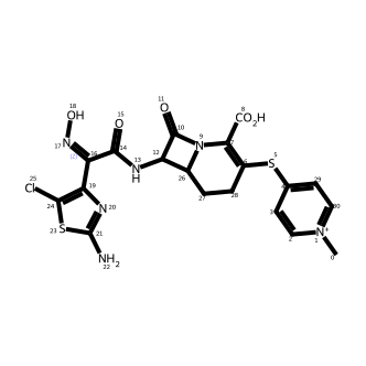 C[n+]1ccc(SC2=C(C(=O)O)N3C(=O)C(NC(=O)/C(=N\O)c4nc(N)sc4Cl)C3CC2)cc1